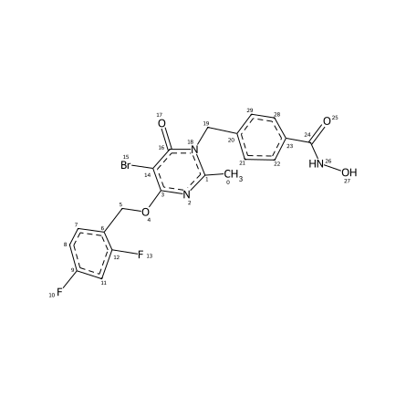 Cc1nc(OCc2ccc(F)cc2F)c(Br)c(=O)n1Cc1ccc(C(=O)NO)cc1